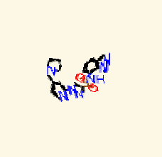 Cn1ncc2cccc(NS(=O)(=O)c3cnn(-c4cc(CN5CCCCC5)ccn4)c3)c21